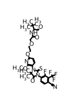 COc1nc(OCCOCC(=O)NC(C=O)C(C)(C)C)ccc1N1C(=S)N(c2ccc(C#N)c(C(F)(F)F)c2F)C(=O)C1(C)C